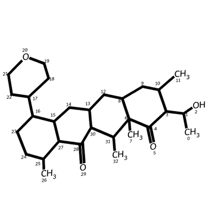 CC(O)C1C(=O)C2(C)C(CC1C)CC1CC3C(C4CCOCC4)CCC(C)C3C(=O)C1C2C